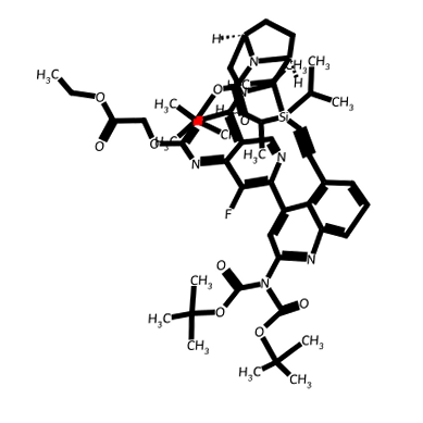 CCOC(=O)COc1nc(N2C[C@H]3CC[C@@H](C2)N3C(=O)OC(C)(C)C)c2cnc(-c3cc(N(C(=O)OC(C)(C)C)C(=O)OC(C)(C)C)nc4cccc(C#C[Si](C(C)C)(C(C)C)C(C)C)c34)c(F)c2n1